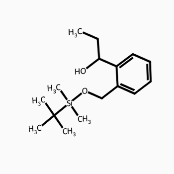 CCC(O)c1ccccc1CO[Si](C)(C)C(C)(C)C